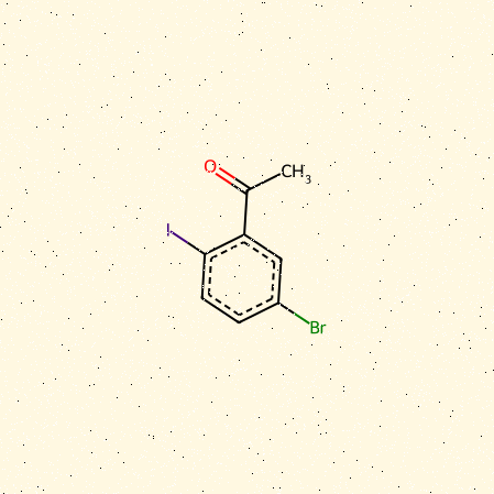 CC(=O)c1cc(Br)ccc1I